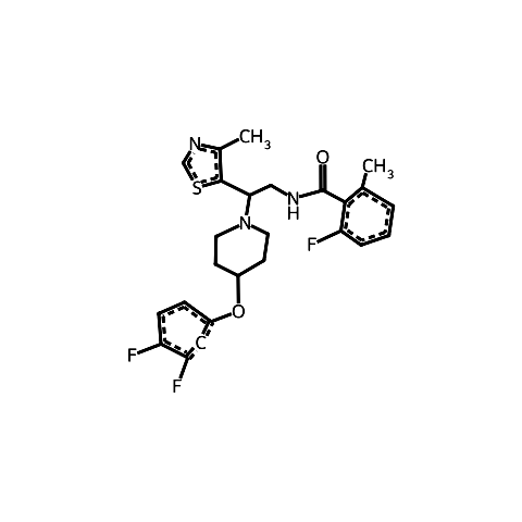 Cc1cccc(F)c1C(=O)NCC(c1scnc1C)N1CCC(Oc2ccc(F)c(F)c2)CC1